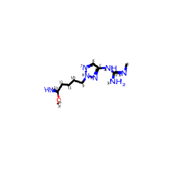 C/N=C(/N)Nc1cnn(CCCCC(=N)OC)n1